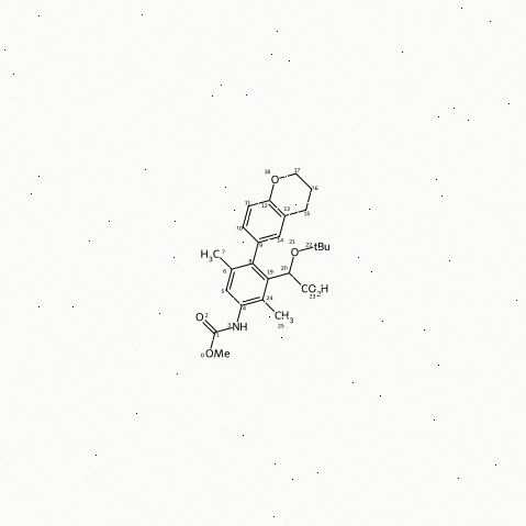 COC(=O)Nc1cc(C)c(-c2ccc3c(c2)CCCO3)c(C(OC(C)(C)C)C(=O)O)c1C